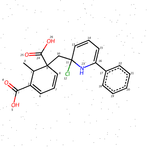 CC1C(C(=O)O)=CC=CC1(CC1(Cl)C=CC=C(c2ccccc2)N1)C(=O)O